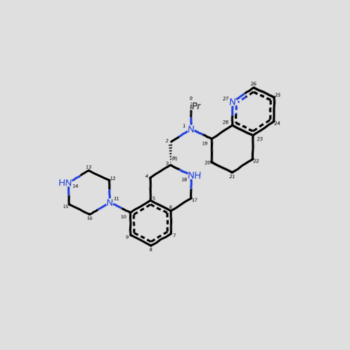 CC(C)N(C[C@H]1Cc2c(cccc2N2CCNCC2)CN1)C1CCCc2cccnc21